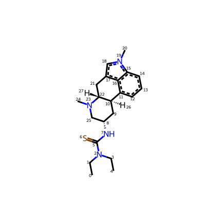 CCN(CC)C(=S)N[C@H]1C[C@@H]2c3cccc4c3c(cn4C)C[C@H]2N(C)C1